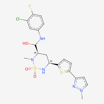 CN1[C@@H](C(O)Nc2ccc(F)c(Cl)c2)C[C@@H](c2ccc(-c3ccn(C)n3)s2)NS1(=O)=O